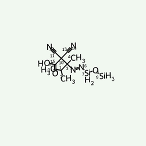 CC(C)C(C)(N=N[SiH2]O[SiH3])C(C#N)(C#N)C(=O)O